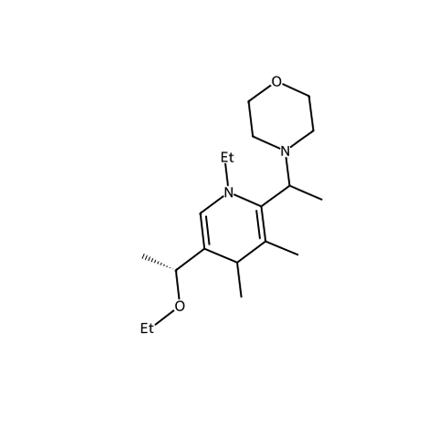 CCO[C@H](C)C1=CN(CC)C(C(C)N2CCOCC2)=C(C)C1C